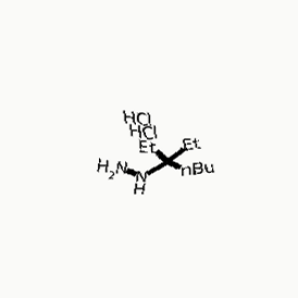 CCCCC(CC)(CC)NN.Cl.Cl